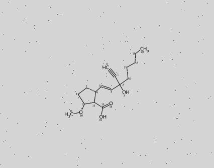 C#CC(O)(C=CC1CCC(OC)C1C(=O)O)CCCCC